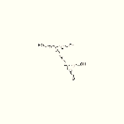 OCCOCC(COCCO)OCCOCCOC(COCCO)COCCO